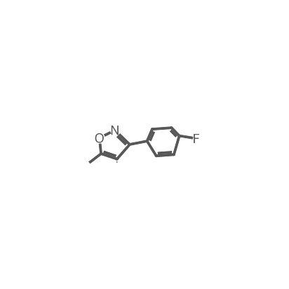 Cc1[c]c(-c2ccc(F)cc2)no1